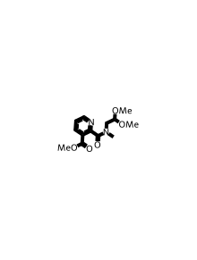 COC(=O)c1cccnc1C(=O)N(C)CC(OC)OC